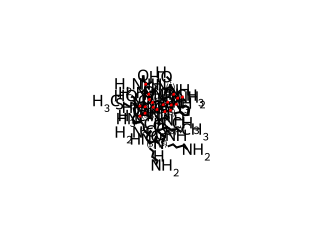 CC[C@H](C)[C@H](NC(=O)[C@H](CCCCN)NC(=O)[C@H](CCCCN)NC(=O)[C@@H](N)Cc1c[nH]c2ccccc12)C(=O)N[C@@H](CCCN=C(N)N)C(=O)N[C@@H](CCCN=C(N)N)C(=O)N[C@@H](Cc1ccccc1)C(=O)N[C@@H](C)C(=O)N[C@@H](CO)C(=O)N[C@@H](CCC(N)=O)C(=O)N[C@H](C(=O)N[C@H](C(=O)N[C@@H](CCSC)C(=O)O)[C@@H](C)CC)C(C)C